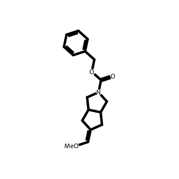 COC=C1CC2CN(C(=O)OCc3ccccc3)CC2C1